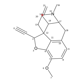 C#CC1Oc2c(OC)ccc3c2C12CCN(C)C(C3)C2C=C